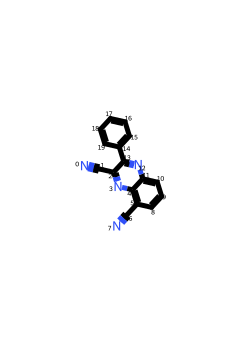 N#Cc1nc2c(C#N)cccc2nc1-c1ccccc1